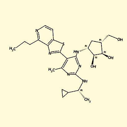 CCCc1nccc2sc(-c3c(C)nc(N[C@H](C)C4CC4)nc3N[C@@H]3C[C@H](CO)[C@@H](O)[C@H]3O)nc12